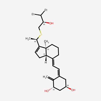 C=C1C(=CC=C2CCC[C@]3(C)C([C@@H](C)SC[C@H](O)C(CC)CC)=CC[C@@H]23)C[C@@H](O)C[C@@H]1O